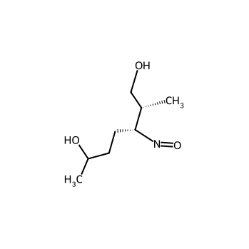 CC(O)CC[C@@H](N=O)[C@@H](C)CO